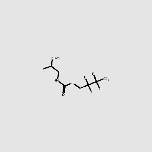 CCCCCCC(C)CNC(=O)OCC(F)(F)C(F)(F)C(F)(F)F